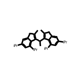 CC1=C(C(C)C2=C(C)[CH]c3cc(C(C)C)cc(C(C)C)c32)c2c(cc(C(C)C)cc2C(C)C)[CH]1